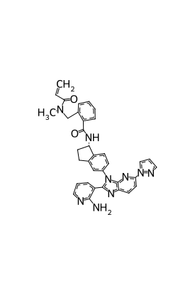 C=CC(=O)N(C)Cc1ccccc1C(=O)N[C@H]1CCc2cc(-n3c(-c4cccnc4N)nc4ccc(-n5cccn5)nc43)ccc21